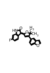 CC1(C)OC(=C2C(=O)Nc3cc(F)ccc32)C=C1c1ccc2occc2c1